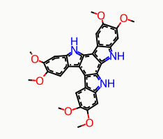 COc1cc2[nH]c3c4[nH]c5cc(OC)c(OC)cc5c4c4c5cc(OC)c(OC)cc5[nH]c4c3c2cc1OC